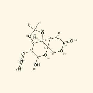 CC1(C)OC2[C@@H](N=[N+]=[N-])C(O)OC3(COC(=O)OC3)[C@@H]2O1